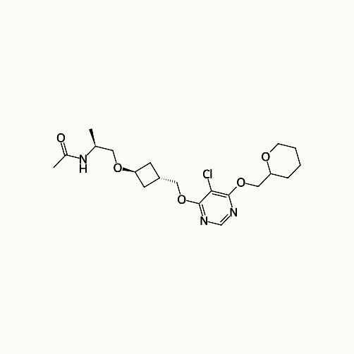 CC(=O)N[C@@H](C)CO[C@H]1C[C@H](COc2ncnc(OCC3CCCCO3)c2Cl)C1